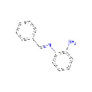 Nc1ccccc1N=Cc1ccccc1